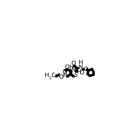 C=CCON=CC1=C(C(=O)O)N2C(=O)[C@@H](NC(=O)OC3CCCCC3)[C@@H]2SC1